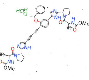 COC(=O)N[C@H](C(=O)N1CCC[C@H]1c1ncc(C#CC#Cc2ccc(-c3cnc([C@@H]4CCCN4C(=O)[C@@H](NC(=O)OC)C(C)C)[nH]3)cc2O[C@H](C)c2ccccc2)[nH]1)C(C)C.Cl.Cl